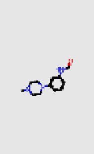 CN1CCN(c2cccc(NC=O)c2)CC1